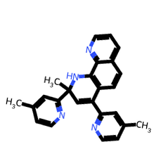 Cc1ccnc(C2=CC(C)(c3cc(C)ccn3)Nc3c2ccc2cccnc32)c1